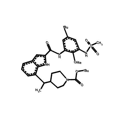 COc1c(NC(=O)c2cc3cccc(C(C)C4CCN(C(=O)OC(C)(C)C)CC4)c3[nH]2)cc(C(C)(C)C)cc1NS(C)(=O)=O